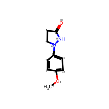 COc1ccc(N2CCC(=O)N2)cc1